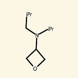 CC(C)CN(C(C)C)C1COC1